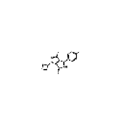 Cc1nn(C2CCC2)c2c1C(c1ccc(Cl)cc1)NC2=O